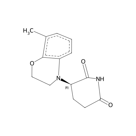 Cc1cccc2c1OCCN2[C@@H]1CCC(=O)NC1=O